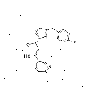 O=C(C=C(O)c1cccnc1)c1ccc(Cc2ccc(F)cc2)o1